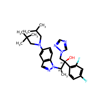 CC(C)CN(CC(C)(C)C)c1ccc2c(cnn2[C@H](C)[C@](O)(Cn2cncn2)c2ccc(F)cc2F)c1